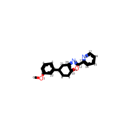 COc1cccc(C2CCc3oc(-c4ccccn4)nc3C2)c1